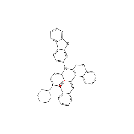 c1ccc2cc(-c3c(N(c4ccc(C5CCCCC5)cc4)c4ccc5c(c4)sc4ccccc45)ccc4ccccc34)ccc2c1